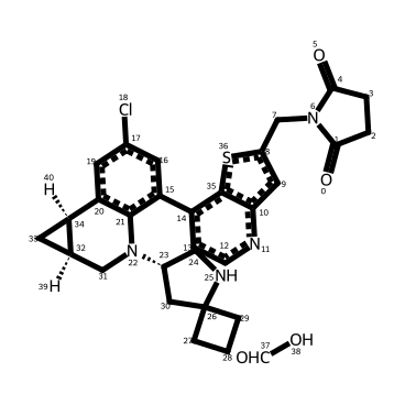 O=C1CCC(=O)N1Cc1cc2nccc(-c3cc(Cl)cc4c3N([C@@H]3CNC5(CCC5)C3)C[C@H]3C[C@@H]43)c2s1.O=CO